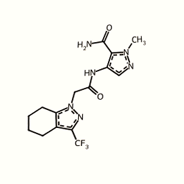 Cn1ncc(NC(=O)Cn2nc(C(F)(F)F)c3c2CCCC3)c1C(N)=O